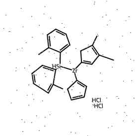 CC1=C(C)C[C]([Zr]([C]2=CC=CC2)[SiH](c2ccccc2C)c2ccccc2C)=C1.Cl.Cl